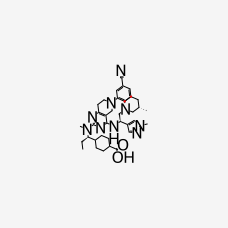 CC[C@H](C1CCC(C(=O)O)CC1)N(C)c1nc2c(c(N[C@@H](CN3CCC[C@H](C)C3)c3cnn(C)c3)n1)CN(c1cccc(C#N)c1)CC2